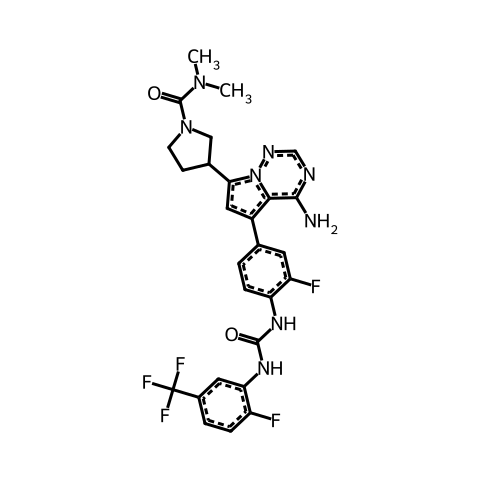 CN(C)C(=O)N1CCC(c2cc(-c3ccc(NC(=O)Nc4cc(C(F)(F)F)ccc4F)c(F)c3)c3c(N)ncnn23)C1